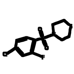 O=S(=O)(c1ccc(Cl)cc1F)N1CCSCC1